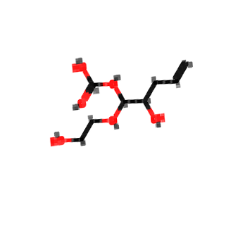 C=CCC(O)C(OCCO)OC(=O)O